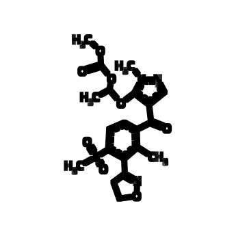 COC(=O)OC(C)Oc1c(C(=O)c2ccc(S(C)(=O)=O)c(C3=NOCC3)c2C)cnn1C